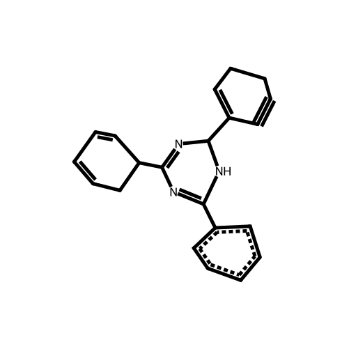 C1#CC(C2N=C(C3C=CC=CC3)N=C(c3ccccc3)N2)=CCC1